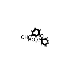 O=Cc1cccc(OC2(C(=O)O)CCSC2)c1